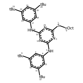 CCCCCCCCSc1nc(Nc2cc(C(C)(C)C)cc(C(C)(C)C)c2)nc(Nc2cc(C(C)(C)C)cc(C(C)(C)C)c2)n1